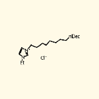 CCCCCCCCCCCCCCCCCC[n+]1ccn(CC)c1.[Cl-]